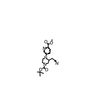 COC(=O)c1ccc(N2CCN(C(=O)OC(C)(C)C)CC2CC#N)cn1